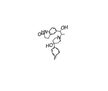 CC(C(O)c1ccc2c(c1)CCC(=O)N2)N1CCC(O)(c2ccc(F)cc2)CC1